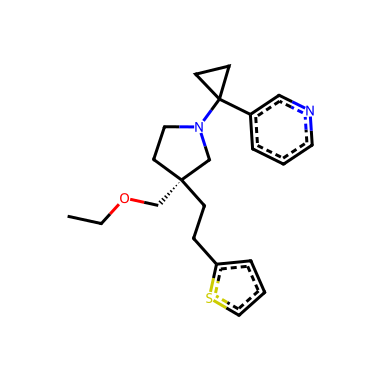 CCOC[C@]1(CCc2cccs2)CCN(C2(c3cccnc3)CC2)C1